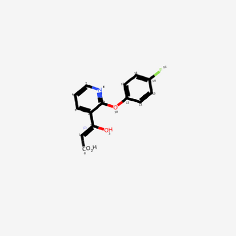 O=C(O)/C=C(\O)c1cccnc1Oc1ccc(F)cc1